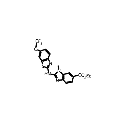 CCOC(=O)c1ccc2nc(Nc3nc4ccc(OC(F)(F)F)cc4s3)n(C)c2c1